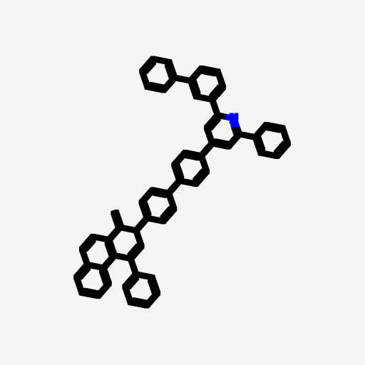 C=C1c2ccc3ccccc3c2C(c2ccccc2)=CC1c1ccc(-c2ccc(-c3cc(-c4ccccc4)nc(-c4cccc(-c5ccccc5)c4)c3)cc2)cc1